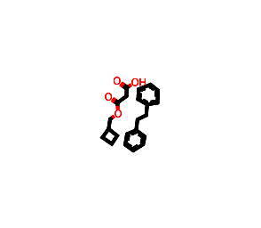 O=C(O)CC(=O)OCC1CCC1.c1ccc(CCc2ccccc2)cc1